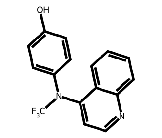 Oc1ccc(N(c2ccnc3ccccc23)C(F)(F)F)cc1